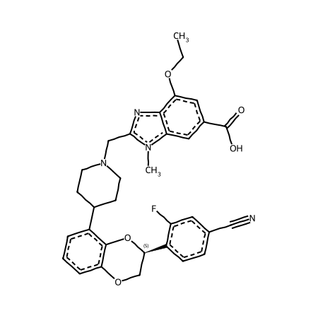 CCOc1cc(C(=O)O)cc2c1nc(CN1CCC(c3cccc4c3O[C@@H](c3ccc(C#N)cc3F)CO4)CC1)n2C